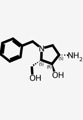 N[C@H]1CN(Cc2ccccc2)[C@@H](CO)[C@@H]1O